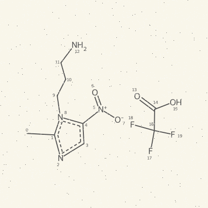 Cc1ncc([N+](=O)[O-])n1CCCN.O=C(O)C(F)(F)F